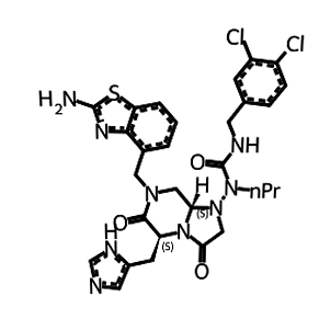 CCCN(C(=O)NCc1ccc(Cl)c(Cl)c1)N1CC(=O)N2[C@@H](Cc3cnc[nH]3)C(=O)N(Cc3cccc4sc(N)nc34)C[C@@H]21